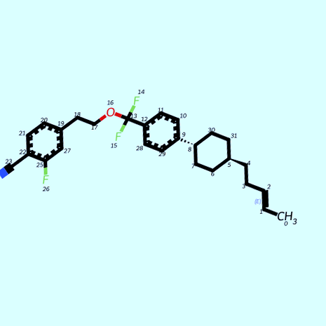 C/C=C/CC[C@H]1CC[C@H](c2ccc(C(F)(F)OCCc3ccc(C#N)c(F)c3)cc2)CC1